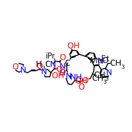 CCn1c(-c2cccnc2[C@H](C)OC)c2c3cc(ccc31)-c1cc(O)cc(c1)C[C@H](NC(=O)[C@H](C(C)C)N(C)C(=O)[C@@]1(O)CCN(C(=O)/C=C/CN3CCOCC3)C1)C(=O)N1CCC[C@@](O)(N1)C(=O)OCC(C)(C)C2